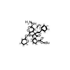 CC(C)C[C@@H](C(=O)NN)[C@H](C(=O)NOC1CCCCO1)C(C=Cc1ccccc1)(CC(C)C)C(=O)[C@H]1CCCN1C(=O)OC(C)(C)C